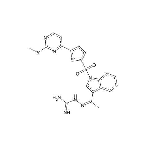 CSc1nccc(-c2ccc(S(=O)(=O)n3cc(/C(C)=N\NC(=N)N)c4ccccc43)s2)n1